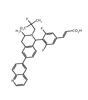 CC1Cc2cc(-c3ccc4ncccc4c3)ccc2C(c2c(F)cc(/C=C/C(=O)O)cc2F)N1CC(C)(C)F